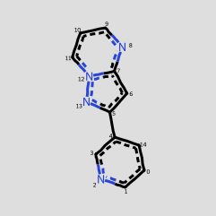 c1cncc(-c2cc3ncccn3n2)c1